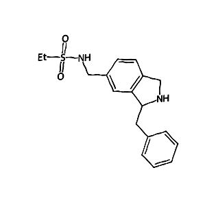 CCS(=O)(=O)NCc1ccc2c(c1)C(Cc1ccccc1)NC2